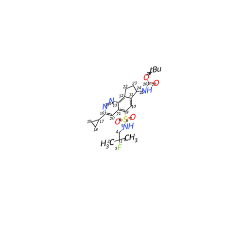 CC(C)(F)CNS(=O)(=O)c1cc2c(c3nnc(C4CC4)cc13)CCC2NC(=O)OC(C)(C)C